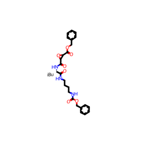 CC[C@H](C)[C@H](NC(=O)C1OC1C(=O)OCc1ccccc1)C(=O)NCCCCNC(=O)OCc1ccccc1